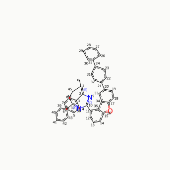 C\C1=C(c2ccccc2)/N=C(c2cccc3oc4ccc(-c5ccc(-c6ccccc6)cc5)cc4c23)\N=C(\c2ccccc2)CC1